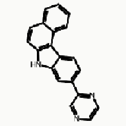 c1ccc2c(c1)ccc1[nH]c3cc(-c4cnccn4)ccc3c12